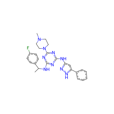 CC(Nc1nc(Nc2cc(-c3ccccc3)[nH]n2)nc(N2CCN(C)CC2)n1)c1ccc(F)cc1